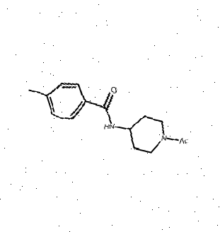 CC(=O)N1CCC(NC(=O)c2ccc(C)cc2)CC1